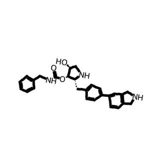 O=C(NCc1ccccc1)O[C@@H]1[C@@H](O)CN[C@@H]1Cc1ccc(-c2ccc3c(c2)CNC3)cc1